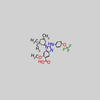 COc1cc2c(cc1C(=O)O)nc(Nc1ccc(OC(F)(F)F)cc1)n2[C@H]1C[C@@H](C)CC(C)(C)C1